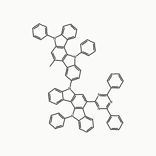 Cc1cc2c(c3ccccc3n2-c2ccccc2)c2c1c1cc(-n3c4ccccc4c4c3cc(-c3nc(-c5ccccc5)nc(-c5ccccc5)n3)c3c5ccccc5n(-c5ccccc5)c34)ccc1n2-c1ccccc1